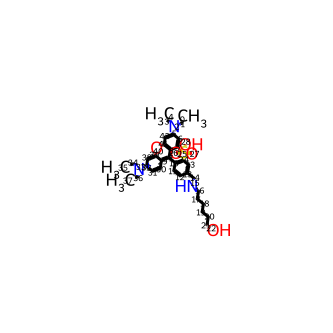 CCN(CC)c1ccc2c(-c3ccc(CNCCCCCCO)cc3S(=O)(=O)O)c3ccc(=[N+](CC)CC)cc-3oc2c1